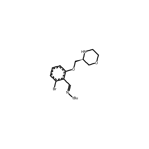 CC(C)(C)/N=C/c1c(Br)cccc1OC[C@@H]1COCCN1